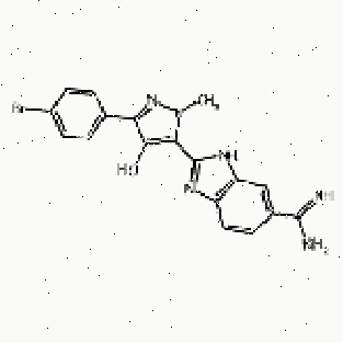 Cn1nc(-c2ccc(Br)cc2)c(O)c1-c1nc2ccc(C(=N)N)cc2[nH]1